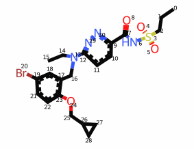 CCCS(=O)(=O)NC(=O)c1ccc(N(CC)Cc2cc(Br)ccc2OCC2CC2)nn1